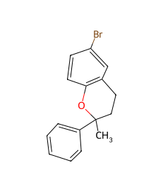 CC1(c2ccccc2)CCc2cc(Br)ccc2O1